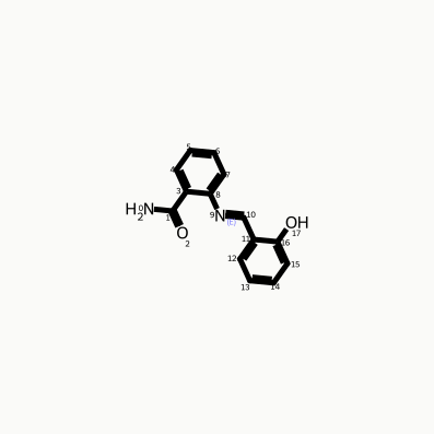 NC(=O)c1ccccc1/N=C/c1ccccc1O